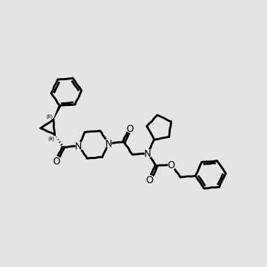 O=C(CN(C(=O)OCc1ccccc1)C1CCCC1)N1CCN(C(=O)[C@@H]2C[C@H]2c2ccccc2)CC1